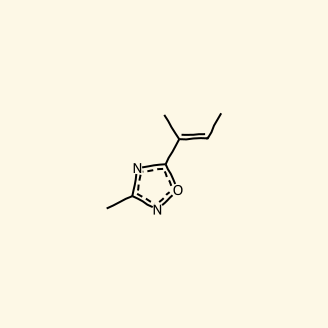 C/C=C(\C)c1nc(C)no1